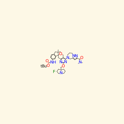 CN(C)C(=O)c1cc2n(n1)CCCN(c1nc(OC[C@@]34CCCN3C[C@H](F)C4)nc3c1COC1(C3)c3cc(NC(=O)OC(C)(C)C)ccc3CC1(C)C)C2